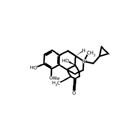 COc1c(O)ccc2c1C13CC[N+](C)(CC4CC4)[C@H](C2)[C@]1(O)CCC(=O)C3C